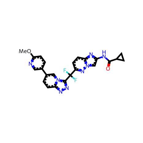 COc1ccc(-c2ccc3nnc(C(F)(F)c4ccc5nc(NC(=O)C6CC6)cn5n4)n3c2)cn1